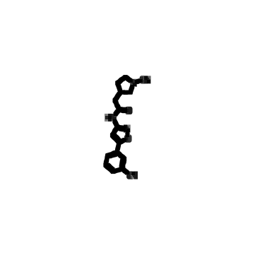 N#Cc1cccc(-c2cc(NC(=O)CC3CCN(C#N)C3)no2)c1